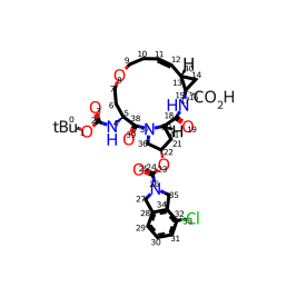 CC(C)(C)OC(=O)N[C@H]1CCOCCC=C[C@@H]2C[C@@]2(C(=O)O)NC(=O)[C@@H]2C[C@@H](OC(=O)N3Cc4cccc(Cl)c4C3)CN2C1=O